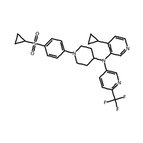 O=S(=O)(c1ccc(N2CCC(N(c3ccc(C(F)(F)F)nc3)c3cnccc3C3CC3)CC2)cc1)C1CC1